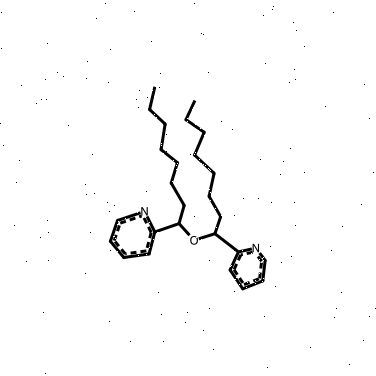 CCCCCCCC(OC(CCCCCCC)c1ccccn1)c1ccccn1